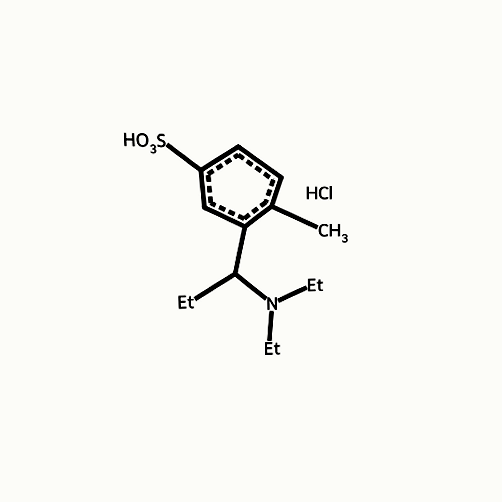 CCC(c1cc(S(=O)(=O)O)ccc1C)N(CC)CC.Cl